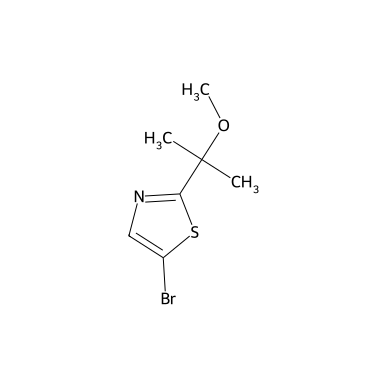 COC(C)(C)c1ncc(Br)s1